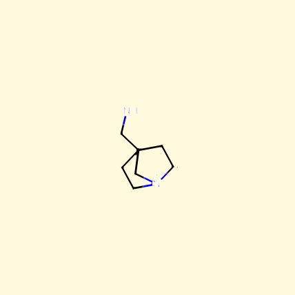 [NH]CC12CCN(CC1)C2